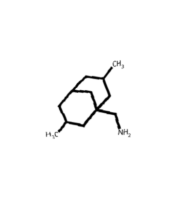 CC1CC2CC(C)CC(CN)(C1)C2